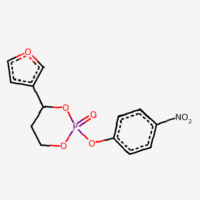 O=[N+]([O-])c1ccc(OP2(=O)OCCC(c3ccoc3)O2)cc1